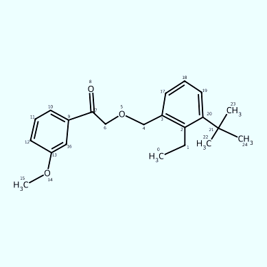 CCc1c(COCC(=O)c2cccc(OC)c2)cccc1C(C)(C)C